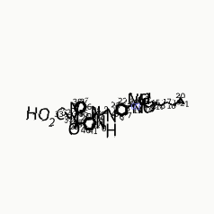 Cn1c(CNc2ccc(/C(N)=N/C(=O)OCCCCC3CC3)cc2)nc2cc(C(=O)N(CCC(=O)O)c3ccccn3)ccc21